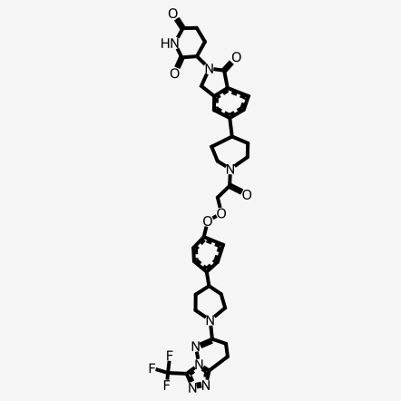 O=C1CCC(N2Cc3cc(C4CCN(C(=O)COOc5ccc(C6CCN(C7=Nn8c(nnc8C(F)(F)F)CC7)CC6)cc5)CC4)ccc3C2=O)C(=O)N1